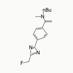 C=C(c1ccc(C2=NC(CF)=N2)cc1)N(C)CCCC